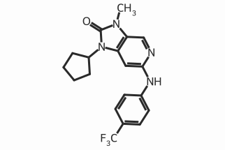 Cn1c(=O)n(C2CCCC2)c2cc(Nc3ccc(C(F)(F)F)cc3)ncc21